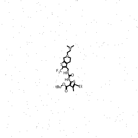 CCc1sc(NC(=O)NCc2c(C(F)(F)F)sc3c2CCN(CCN(C)C)C3)c(C(=O)OC(C)(C)C)c1C